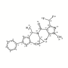 Cc1sc(-c2ccccc2)cc1C(C)N(C(=O)c1c(C(F)F)nn(C)c1F)C1CC1